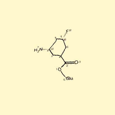 CC(C)(C)OC(=O)C1C[C@H](N)C[C@H](F)C1